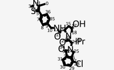 Cc1ncsc1-c1ccc(CNC(=O)[C@@H]2C[C@@H](O)CN2C(=O)[C@H](C(C)C)N2Cc3c(Cl)cccc3C2=O)cc1